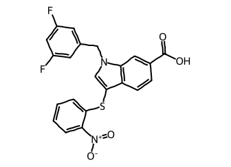 O=C(O)c1ccc2c(Sc3ccccc3[N+](=O)[O-])cn(Cc3cc(F)cc(F)c3)c2c1